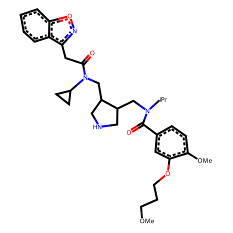 COCCCOc1cc(C(=O)N(CC2CNCC2CN(C(=O)Cc2noc3ccccc23)C2CC2)C(C)C)ccc1OC